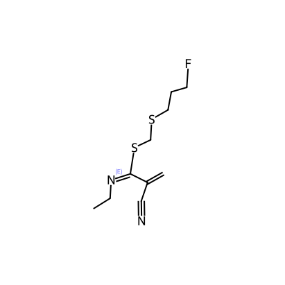 C=C(C#N)/C(=N\CC)SCSCCCF